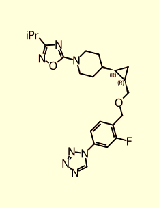 CC(C)c1noc(N2CCC([C@H]3C[C@H]3COCc3ccc(-n4cnnn4)cc3F)CC2)n1